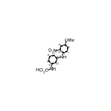 COc1ccc(Nc2cccc(NC(=O)O)c2)c([N+](=O)[O-])c1